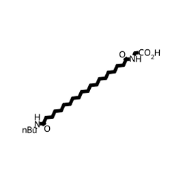 CCCCNC(=O)CCCCCCCCCCCCCCCCCCC(=O)NCC(=O)O